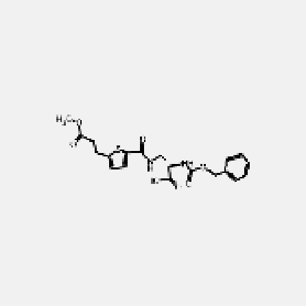 COC(=O)CCc1ccc(C(=O)NC[C@H](NC(=O)OCc2ccccc2)C(=O)O)s1